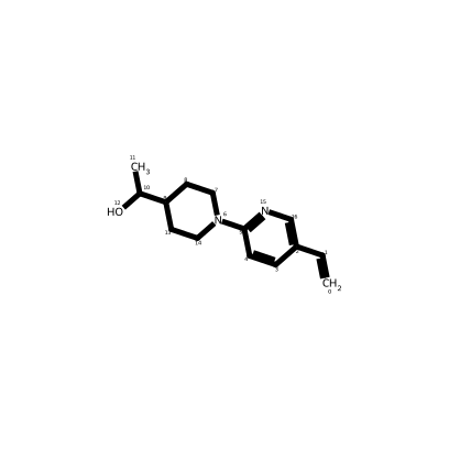 C=Cc1ccc(N2CCC(C(C)O)CC2)nc1